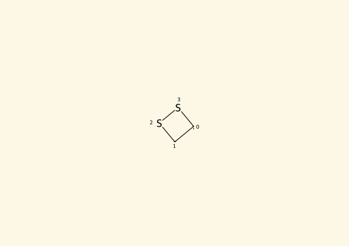 [CH]1CSS1